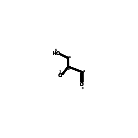 O=CC(Cl)[CH]O